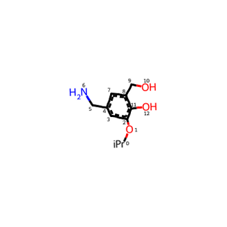 CC(C)Oc1cc(CN)cc(CO)c1O